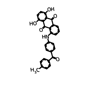 Cc1ccc(C(=O)c2ccc(Nc3cccc4c3C(=O)c3c(O)ccc(O)c3C4=O)cc2)cc1